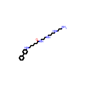 NCCCNCCCCNCCCNC(=O)CCCCCNc1ccc(-c2ccccc2)cc1